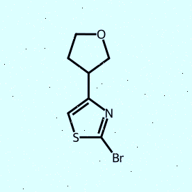 Brc1nc(C2CCOC2)cs1